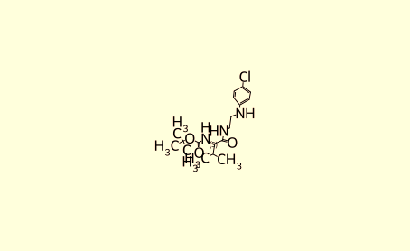 CC(C)[C@H](NC(=O)OC(C)(C)C)C(=O)NCCNc1ccc(Cl)cc1